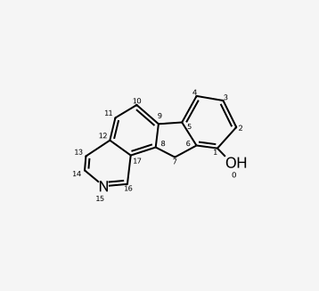 Oc1cccc2c1Cc1c-2ccc2ccncc12